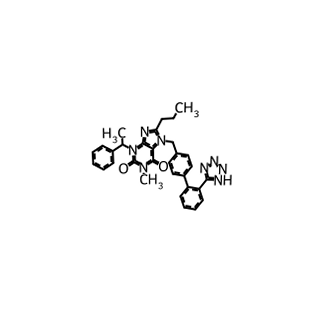 CCCc1nc2c(c(=O)n(C)c(=O)n2C(C)c2ccccc2)n1Cc1ccc(-c2ccccc2-c2nnn[nH]2)cc1